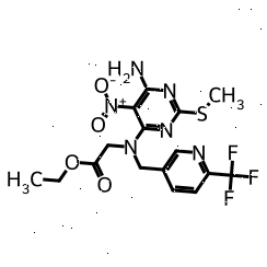 CCOC(=O)CN(Cc1ccc(C(F)(F)F)nc1)c1nc(SC)nc(N)c1[N+](=O)[O-]